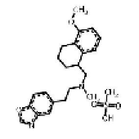 COc1cccc2c1CCCC2CN(C)CCc1ccc2ocnc2c1.CS(=O)(=O)O